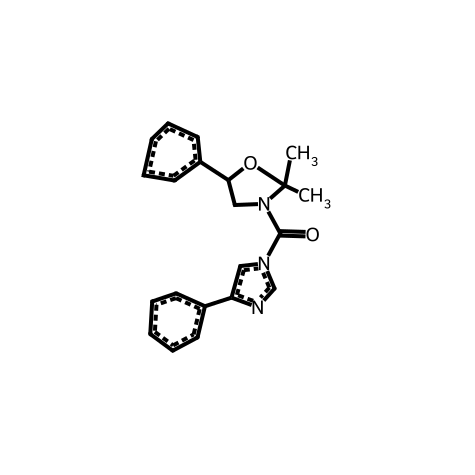 CC1(C)OC(c2ccccc2)CN1C(=O)n1cnc(-c2ccccc2)c1